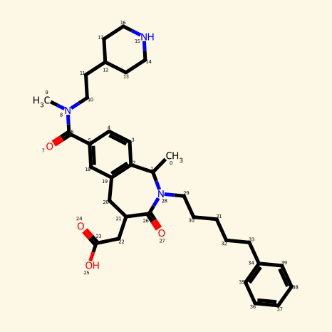 CC1c2ccc(C(=O)N(C)CCC3CCNCC3)cc2CC(CC(=O)O)C(=O)N1CCCCCc1ccccc1